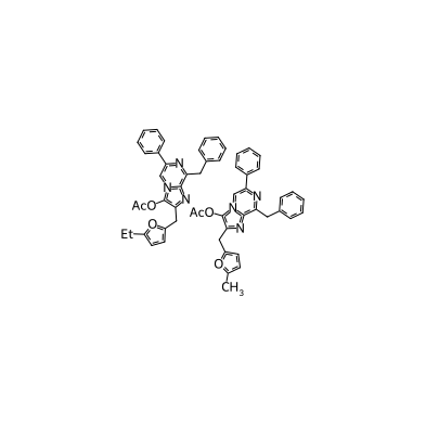 CC(=O)Oc1c(Cc2ccc(C)o2)nc2c(Cc3ccccc3)nc(-c3ccccc3)cn12.CCc1ccc(Cc2nc3c(Cc4ccccc4)nc(-c4ccccc4)cn3c2OC(C)=O)o1